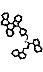 C(/Cc1cccc2ccccc12)=C(/NCc1ccc(-n2c3ccccc3c3c4c5ccccc5ccc4c4ccccc4c32)cc1)c1cccc2ccccc12